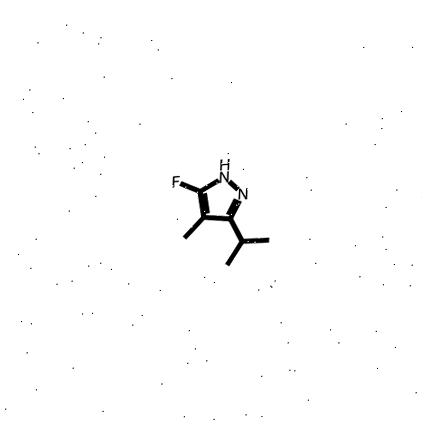 Cc1c(C(C)C)n[nH]c1F